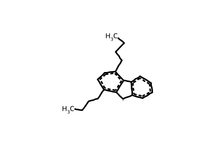 CCCCc1ccc(CCCC)c2c1[CH]c1ccccc1-2